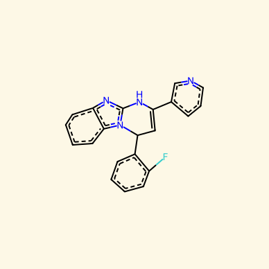 Fc1ccccc1C1C=C(c2cccnc2)Nc2nc3ccccc3n21